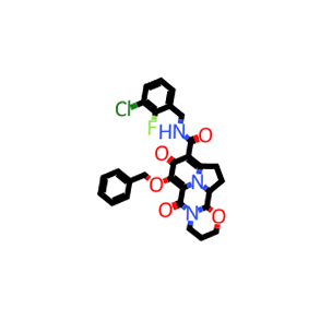 O=C(NCc1cccc(Cl)c1F)c1c2n3c(c(OCc4ccccc4)c1=O)C(=O)N1CCCOC1C3CC2